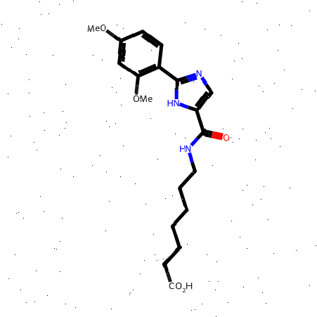 COc1ccc(-c2ncc(C(=O)NCCCCCCC(=O)O)[nH]2)c(OC)c1